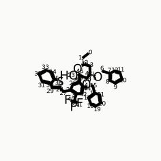 CC[C@@H]1C[C@H](OCc2ccccc2)[C@@H](OCc2ccccc2)[C@](O)(c2cc(Cc3cc4ccccc4s3)c(C(F)(F)F)cc2C)O1